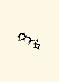 O=C(Cc1cccnc1)NC1CCC1